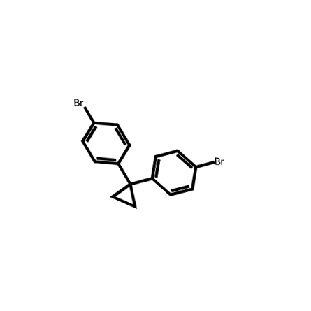 Brc1ccc(C2(c3ccc(Br)cc3)CC2)cc1